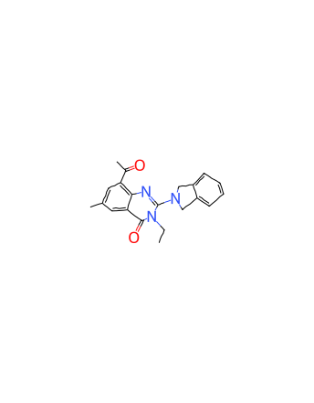 CCn1c(N2Cc3ccccc3C2)nc2c(C(C)=O)cc(C)cc2c1=O